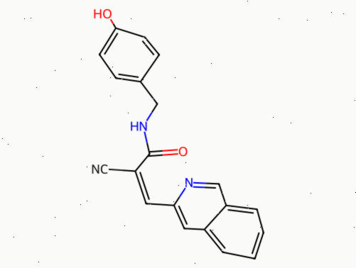 N#CC(=Cc1cc2ccccc2cn1)C(=O)NCc1ccc(O)cc1